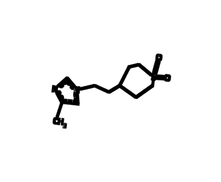 Cc1cn(CCC2CCS(=O)(=O)CC2)cn1